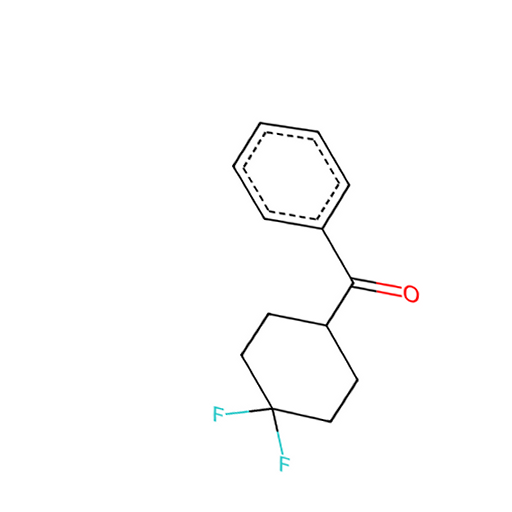 O=C(c1ccccc1)C1CCC(F)(F)CC1